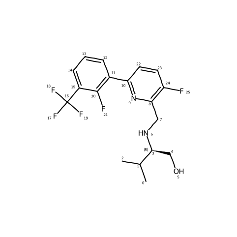 CC(C)[C@H](CO)NCc1nc(-c2cccc(C(F)(F)F)c2F)ccc1F